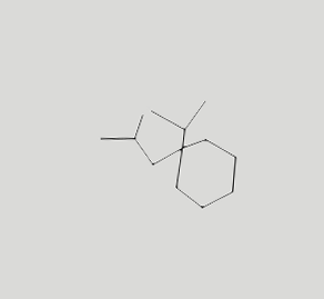 CC1CC2(CCCCC2)C(C)O1